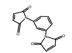 O=C1C=CC(=O)N1c1cccc(N2C(=O)C=CC2=O)c1